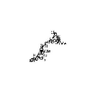 COC(=O)[C@@H]1[C@@H](c2ccc3ccccc3c2)N(CCc2ccc(Cl)cc2NCCOCCOCCOCCNC(=O)c2ccc(N(CC#Cc3cc4c(N[C@@H]5CCN(C)C[C@@H]5F)cccc4n3CC(F)(F)F)C(=O)OC(C)(C)C)c(OC)c2)C(=O)CN1C